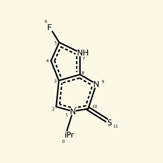 CC(C)n1cc2cc(F)[nH]c2nc1=S